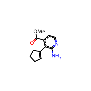 COC(=O)c1ccnc(N)c1C1=CCCC1